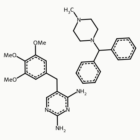 CN1CCN(C(c2ccccc2)c2ccccc2)CC1.COc1cc(Cc2cnc(N)nc2N)cc(OC)c1OC